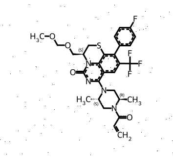 C=CC(=O)N1C[C@H](C)N(c2nc(=O)n3c4c(c(-c5ccc(F)cc5)c(C(F)(F)F)cc24)SC[C@@H]3COCOC)C[C@H]1C